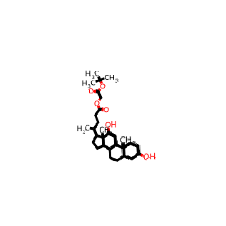 CC(CCC(=O)OCC(=O)OC(C)(C)C)C1CCC2C3CCC4CC(O)CCC4(C)C3CC(O)C12C